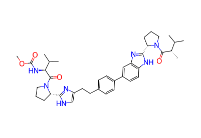 COC(=O)N[C@H](C(=O)N1CCC[C@H]1c1nc(CCc2ccc(-c3ccc4[nH]c([C@@H]5CCCN5C(=O)[C@@H](C)C(C)C)nc4c3)cc2)c[nH]1)C(C)C